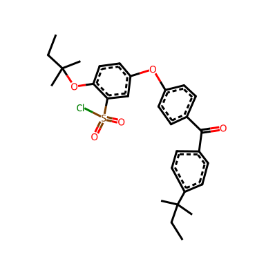 CCC(C)(C)Oc1ccc(Oc2ccc(C(=O)c3ccc(C(C)(C)CC)cc3)cc2)cc1S(=O)(=O)Cl